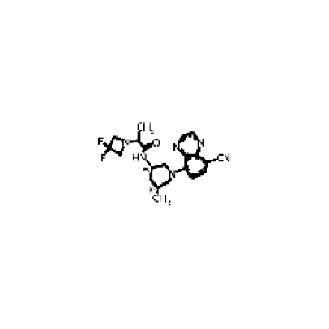 CC(C(=O)N[C@@H]1C[C@H](C)CN(c2ccc(C#N)c3nccnc23)C1)N1CC(F)(F)C1